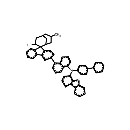 CC1CC2CC(C)C3(c4ccccc4-c4cc(-c5cccc6c(N(c7ccc(-c8ccccc8)cc7)c7cccc8c7oc7ccccc78)cccc56)ccc43)C(C1)C2